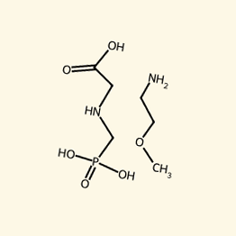 COCCN.O=C(O)CNCP(=O)(O)O